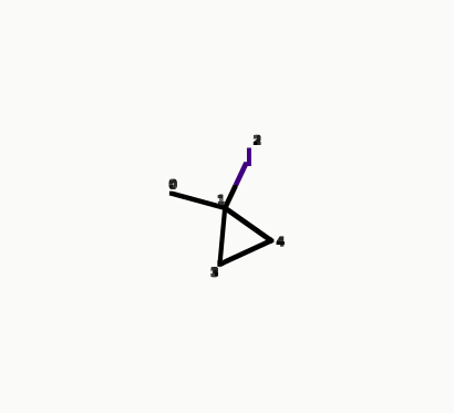 CC1(I)CC1